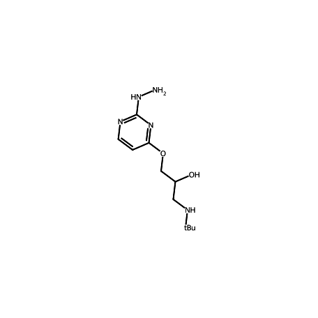 CC(C)(C)NCC(O)COc1ccnc(NN)n1